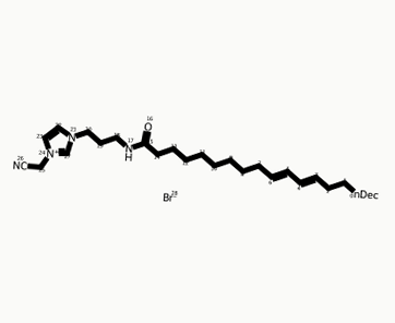 CCCCCCCCCCCCC=CC=CCCCCCCCCC(=O)NCCCn1cc[n+](CC#N)c1.[Br-]